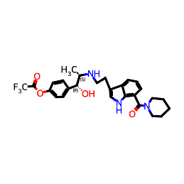 C[C@H](NCCc1c[nH]c2c(C(=O)N3CCCCC3)cccc12)[C@H](O)c1ccc(OC(=O)C(F)(F)F)cc1